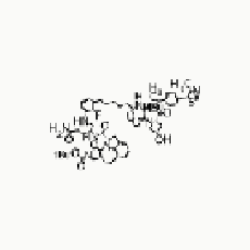 Cc1ncsc1-c1ccc([C@H](C)NC(=O)[C@@H]2C[C@@H](O)CN2C(=O)[C@@H](NC(=O)CCCCCc2cccc(NC[C@H](CCC(N)=O)NC(=O)[C@@H]3Cc4cccc5c4N3C(=O)C(/C=N/C(=O)OC(C)(C)C)CC5)c2F)C(C)(C)C)cc1